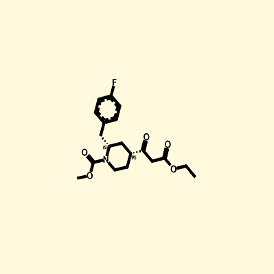 CCOC(=O)CC(=O)[C@@H]1CCN(C(=O)OC)[C@H](Cc2ccc(F)cc2)C1